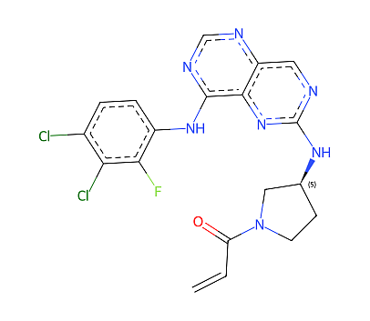 C=CC(=O)N1CC[C@H](Nc2ncc3ncnc(Nc4ccc(Cl)c(Cl)c4F)c3n2)C1